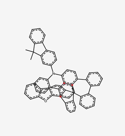 CC1(C)c2ccccc2-c2ccc(N(c3ccc4c(c3)C3(c5ccccc5-c5ccccc5-4)c4ccccc4-c4c3ccc3c4oc4ccccc43)c3ccccc3-c3ccccc3)cc21